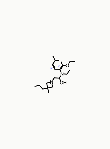 CCCC1(C)CN(CC(O)N(CC)C(/C=C\C(C)C)=C(/C)OCC)C1